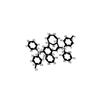 Cc1ccc(N(C2=Cc3c(cc(N(c4ccccc4)c4ccc(C)cc4)c4ccccc34)C3C=CC=CC2C3)c2ccccc2)cc1